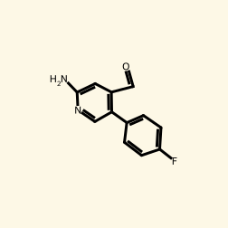 Nc1cc(C=O)c(-c2ccc(F)cc2)cn1